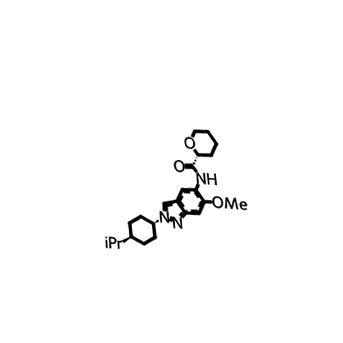 COc1cc2nn([C@H]3CC[C@H](C(C)C)CC3)cc2cc1NC(=O)[C@H]1CCCCO1